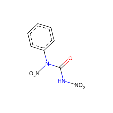 O=C(N[N+](=O)[O-])N(c1ccccc1)[N+](=O)[O-]